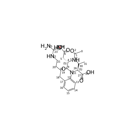 CC(=O)N[C@@H](CC(=O)O)C(=O)N(c1ccccc1CCCCNC(=N)N)[C@H](C(=O)O)C(C)C